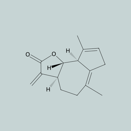 C=C1C(=O)O[C@@H]2[C@H]3C(C)=CCC3=C(C)CC[C@@H]12